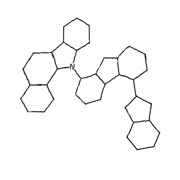 C1CCC2CC(C3CCCC4CC5C(CCCC5N5C6CCCCC6C6CCC7CCCCC7C65)C43)CC2C1